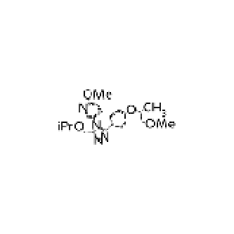 COC[C@@H](C)Oc1ccc(-c2nnc(COC(C)C)n2-c2ccc(OC)nc2)cc1